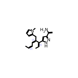 C=C(N)c1cc(C(=C/C)/C(=C\C=C/C)Cc2cccn2C)[nH]n1